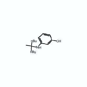 CCCCC(C)(CCCC)Nc1cccc(O)c1